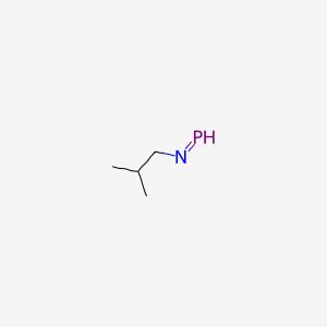 CC(C)CN=P